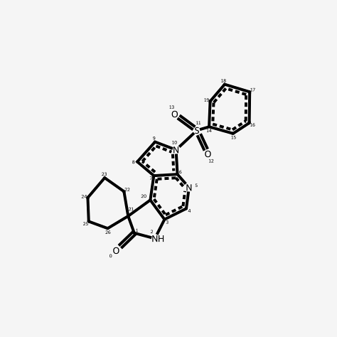 O=C1Nc2cnc3c(ccn3S(=O)(=O)c3ccccc3)c2C12CCCCC2